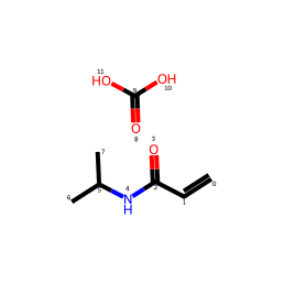 C=CC(=O)NC(C)C.O=C(O)O